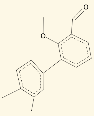 COc1c(C=O)cccc1-c1ccc(C)c(C)c1